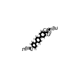 CCCCOC(=O)C1(C)CCC(C2CCC(c3ccc(OCCCC)cc3)CC2)CC1